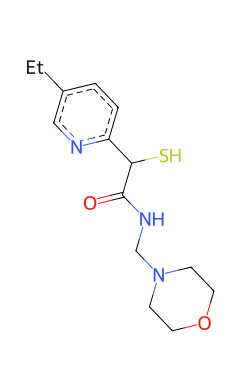 CCc1ccc(C(S)C(=O)NCN2CCOCC2)nc1